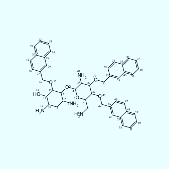 NCC1OC(OC2C(N)CC(N)C(O)C2OCc2ccc3ccccc3c2)C(N)C(OCc2ccc3ccccc3c2)C1OCc1ccc2ccccc2c1